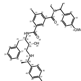 COc1ccc(C(C)N(C)C(=O)c2cc(C)cc(C(=O)N[C@@H](Cc3ccccc3)[C@H](O)CN[C@H](C)c3ccc(C)cc3)c2)cc1